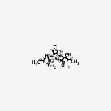 C=C(CCC)[C@H](NC(=O)[C@@H]1CNC[C@H]1C(=O)N[C@@H](CCCC)C(=O)OC)C(=O)OC